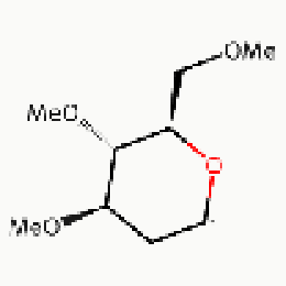 COC[C@H]1O[CH]C[C@@H](OC)[C@@H]1OC